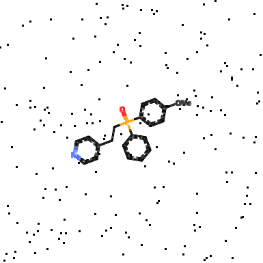 COc1ccc(P(=O)(CCc2ccncc2)c2ccccc2)cc1